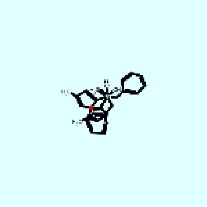 CC1=CC[C]([Zr]([CH3])([CH3])(=[SiH2])([CH2]c2ccccc2)([CH2]c2ccccc2)[C]2=CC(C)=CC2)=C1